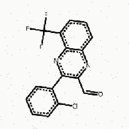 O=Cc1nc2cccc(C(F)(F)F)c2nc1-c1ccccc1Cl